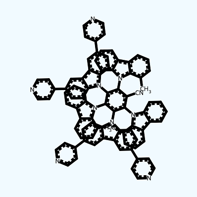 Cc1cccc2c3ccccc3n(-c3c(C#N)c(-n4c5ccccc5c5cccc(C)c54)c(-n4c5ccc(-c6ccncc6)cc5c5cc(-c6ccncc6)ccc54)c(-n4c5ccccc5c5cccc(C)c54)c3-n3c4ccc(-c5ccncc5)cc4c4cc(-c5ccncc5)ccc43)c12